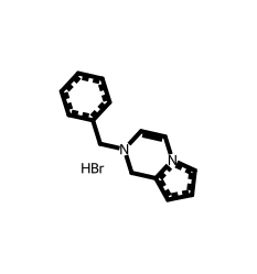 Br.C1=Cn2cccc2CN1Cc1ccccc1